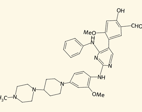 COc1cc(N2CCC(N3CCN(C)CC3)CC2)ccc1Nc1ncc(-c2cc(C=O)c(O)cc2OC)c(Nc2ccccc2)n1